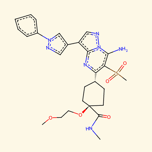 CNC(=O)[C@]1(OCCOC)CC[C@H](c2nc3c(-c4cnn(-c5ccccc5)c4)cnn3c(N)c2S(C)(=O)=O)CC1